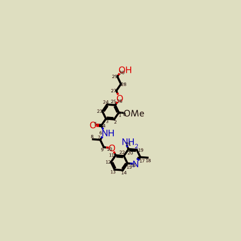 COc1cc(C(=O)NC(C)COc2cccc3nc(C)cc(N)c23)ccc1OCCCO